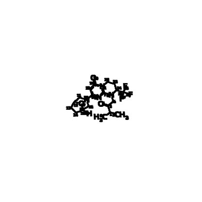 CC(C)C(=O)CN1c2nc(N3CC4CC[C@@H](C3)O4)cc(=O)n2CCC1C(F)(F)F